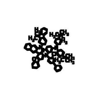 Cc1cc(-c2ccccc2)ccc1N1c2cc(N(c3ccc(C(C)(C)C)cc3)c3ccc(C(C)(C)C)cc3)ccc2B2c3c1cc1c(oc4ccccc41)c3-c1cc3ccccc3cc1N2c1ccc2c(c1)C(C)(C)c1ccccc1-2